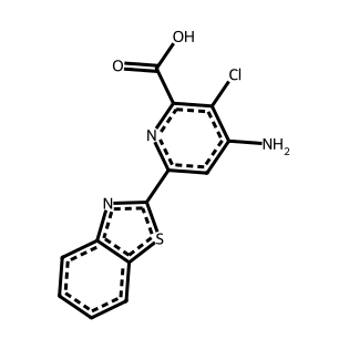 Nc1cc(-c2nc3ccccc3s2)nc(C(=O)O)c1Cl